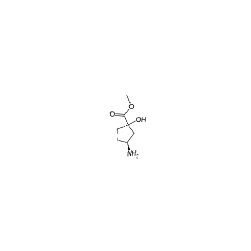 COC(=O)C1(O)CC[C@H](N)C1